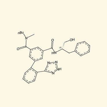 CCCCN(C)C(=O)c1cc(C(=O)N[C@H](CO)Cc2ccccc2)cc(-c2ccccc2-c2nn[nH]n2)c1